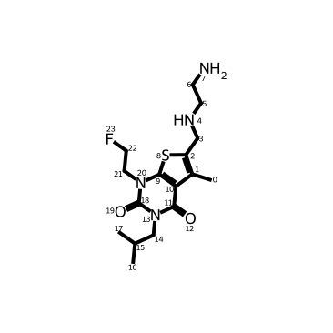 Cc1c(CNCCN)sc2c1c(=O)n(CC(C)C)c(=O)n2CCF